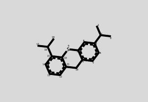 CC(C)c1ccc2c(c1)Sc1c(cccc1C(C)C)C2